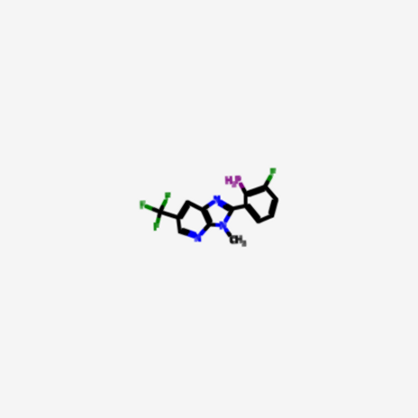 Cn1c(-c2cccc(F)c2P)nc2cc(C(F)(F)F)cnc21